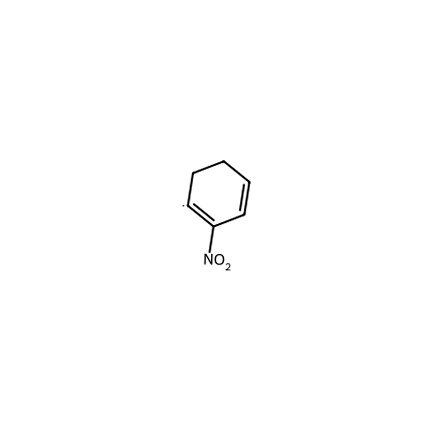 O=[N+]([O-])C1=[C]CCC=C1